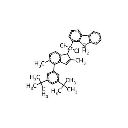 CC1=Cc2c(ccc(C)c2-c2cc(C(C)(C)C)cc(C(C)(C)C)c2)[CH]1[Zr]([Cl])([Cl])[c]1cccc2c1[SiH2]c1ccccc1-2